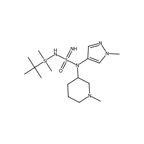 CN1CCCC(N(c2cnn(C)c2)S(=N)(=O)N[Si](C)(C)C(C)(C)C)C1